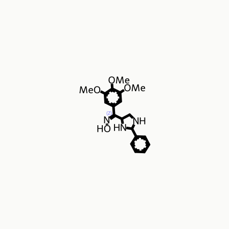 COc1cc(/C(=N/O)C2CNC(c3ccccc3)N2)cc(OC)c1OC